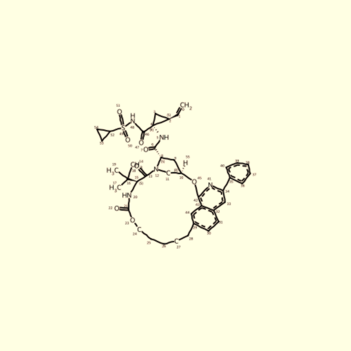 C=C[C@@H]1C[C@]1(NC(=O)[C@@H]1C[C@@H]2CN1C(=O)[C@H](C(C)(C)C)NC(=O)OCCCCCc1ccc3cc(-c4ccccc4)nc(c3c1)O2)C(=O)NS(=O)(=O)C1CC1